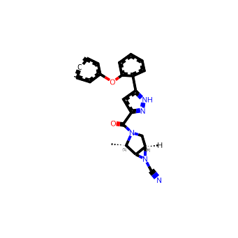 C[C@H]1C2[C@@H](CN1C(=O)c1cc(-c3ccccc3Oc3ccccc3)[nH]n1)N2C#N